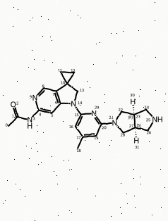 CC(=O)Nc1cc2c(cn1)C1(CC1)CN2c1cc(C)cc(N2C[C@H]3CNC[C@H]3C2)n1